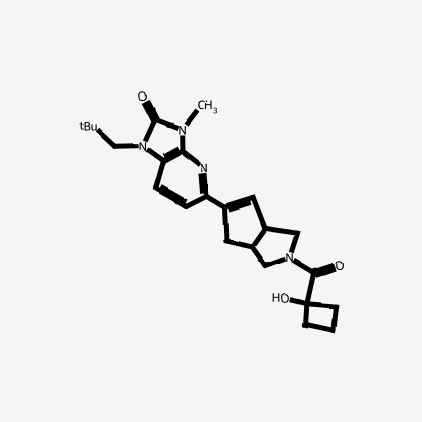 Cn1c(=O)n(CC(C)(C)C)c2ccc(C3=CC4CN(C(=O)C5(O)CCC5)CC4C3)nc21